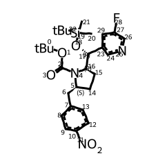 CC(C)(C)OC(=O)N1[C@H](Cc2ccc([N+](=O)[O-])cc2)CC[C@@H]1[C@H](O[Si](C)(C)C(C)(C)C)c1cncc(F)c1